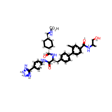 Cc1cc(C(=O)NC(C)CO)ccc1-c1ccc(C[C@H](NC(=O)[C@H]2CC[C@H](CNC(=O)O)CC2)C(=O)Nc2ccc(-c3nnn[nH]3)cc2)cc1